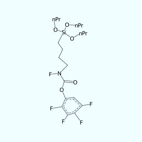 CCCO[Si](CCCCN(F)C(=O)Oc1cc(F)c(F)c(F)c1F)(OCCC)OCCC